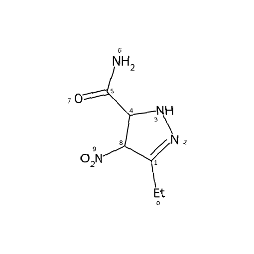 CCC1=NNC(C(N)=O)C1[N+](=O)[O-]